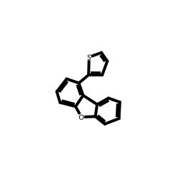 c1csc(-c2cccc3oc4ccccc4c23)c1